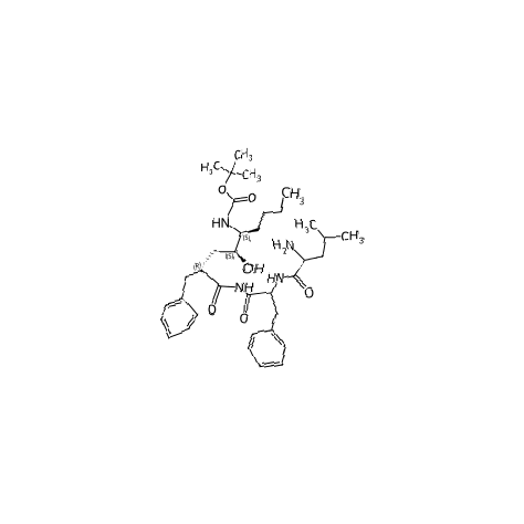 CCCC[C@H](NC(=O)OC(C)(C)C)[C@@H](O)C[C@@H](Cc1ccccc1)C(=O)NC(=O)C(Cc1ccccc1)NC(=O)C(N)CC(C)C